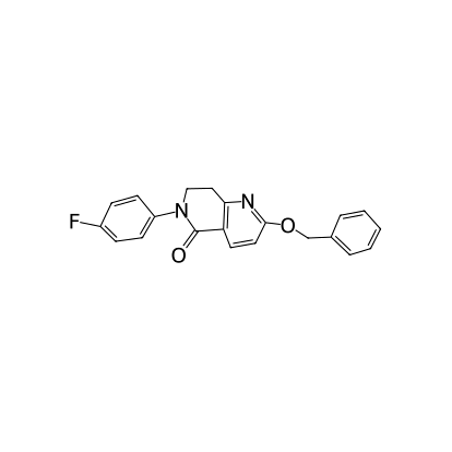 O=C1c2ccc(OCc3ccccc3)nc2CCN1c1ccc(F)cc1